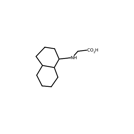 O=C(O)CNC1CCCC2CCCCC21